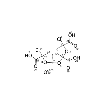 CC(Cl)(OC(C)(O[C@@](C)(C=O)OC(C)(Cl)C(=O)O)C(=O)O)C(=O)O